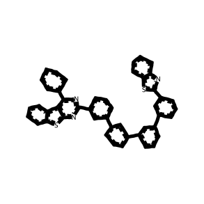 c1ccc(-c2nc(-c3cccc(-c4cccc(-c5cccc(-c6cccc(-c7nc8ccccc8s7)c6)c5)c4)c3)nc3sc4ccccc4c23)cc1